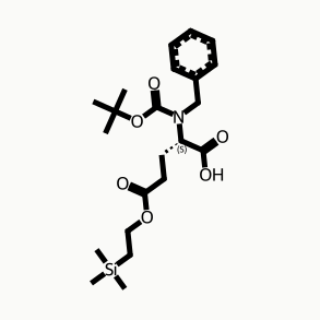 CC(C)(C)OC(=O)N(Cc1ccccc1)[C@@H](CCC(=O)OCC[Si](C)(C)C)C(=O)O